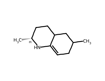 CC1CC=C2N[C@H](C)CCC2C1